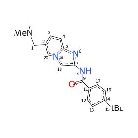 CNCc1ccc2nc(NC(=O)c3ccc(C(C)(C)C)cc3)cn2c1